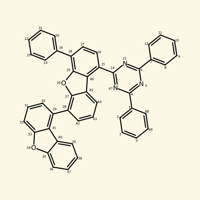 c1ccc(-c2nc(-c3ccccc3)nc(-c3ccc(-c4ccccc4)c4oc5c(-c6cccc7oc8ccccc8c67)cccc5c34)n2)cc1